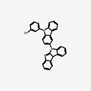 Brc1cccc(-n2c3ccccc3c3cc(N4C5=Nc6ccccc6C5c5ccccc54)ccc32)c1